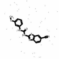 COc1cccc(NC(=O)Nc2nc3ccc(C#N)cc3s2)c1